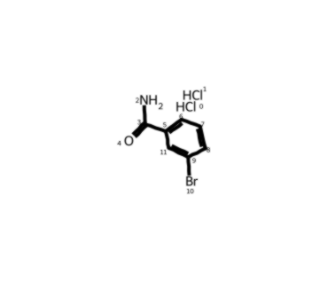 Cl.Cl.NC(=O)c1cccc(Br)c1